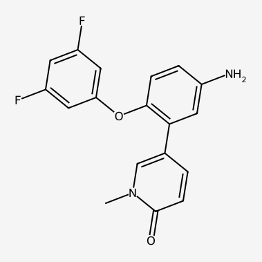 Cn1cc(-c2cc(N)ccc2Oc2cc(F)cc(F)c2)ccc1=O